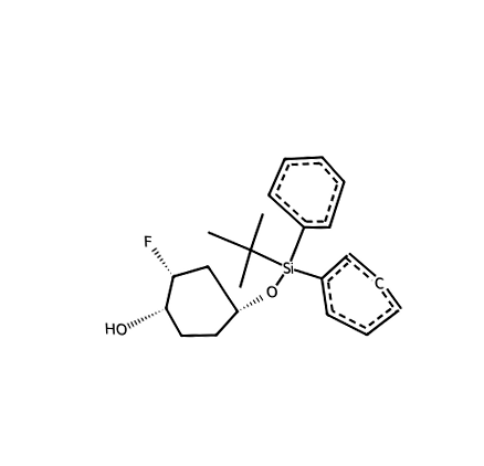 CC(C)(C)[Si](O[C@@H]1CC[C@H](O)[C@H](F)C1)(c1ccccc1)c1ccccc1